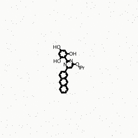 CC(C)Oc1cc(-c2ccc3cc4ccccc4cc3c2)nc(-c2c(O)cc(O)cc2O)n1